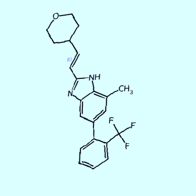 Cc1cc(-c2ccccc2C(F)(F)F)cc2nc(/C=C/C3CCOCC3)[nH]c12